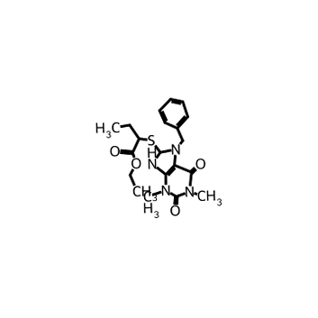 CCOC(=O)C(CC)SC1Nc2c(c(=O)n(C)c(=O)n2C)N1Cc1ccccc1